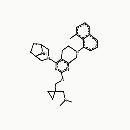 Cc1cccc2cccc(N3CCc4c(nc(OCC5(CN(C)C)CC5)nc4N4CC5CCC(C4)N5)C3)c12